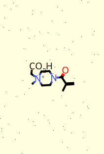 C=C(C)C(=O)N1CC[N+](C)(CC(=O)O)CC1